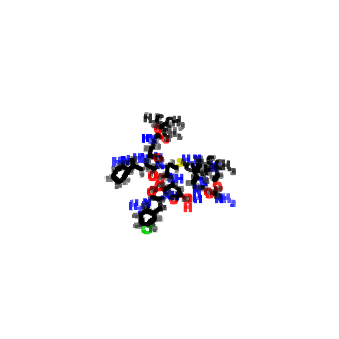 CSCC[C@H](NC(=O)[C@H](Cc1c[nH]c2ccccc12)NC(=O)CCNC(=O)OC(C)(C)C)C(=O)N[C@@H](CC(=O)O)C(=O)N[C@@H](Cc1ccccc1)C(N)=O.C[N+](C)(C)CCOC(N)=O.NCCc1c[nH]cn1.[Cl-]